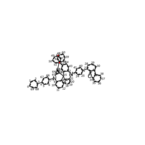 c1ccc(-c2ccc(N3c4ccccc4C4(c5ccccc5N(c5ccc(-c6cccc7c6oc6ccccc67)cc5)c5ccc(-c6ccccc6)cc54)c4cc(-c5ccccc5)ccc43)cc2)cc1